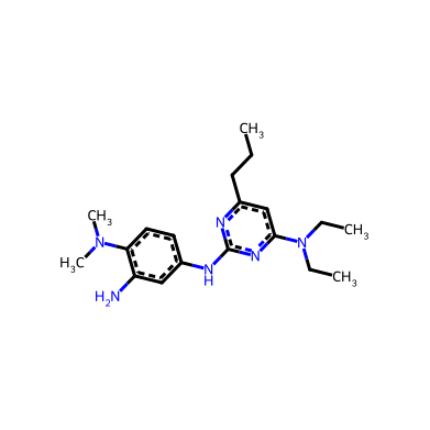 CCCc1cc(N(CC)CC)nc(Nc2ccc(N(C)C)c(N)c2)n1